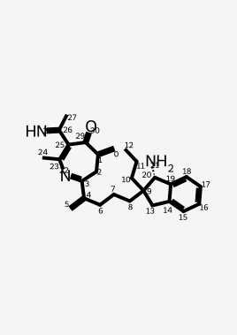 C=C1CC(C(=C)CCCC2(CCC)Cc3ccccc3[C@H]2N)=NC(C)=C(C(C)=N)C1=O